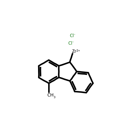 Cc1cccc2c1-c1ccccc1[CH]2[Zr+2].[Cl-].[Cl-]